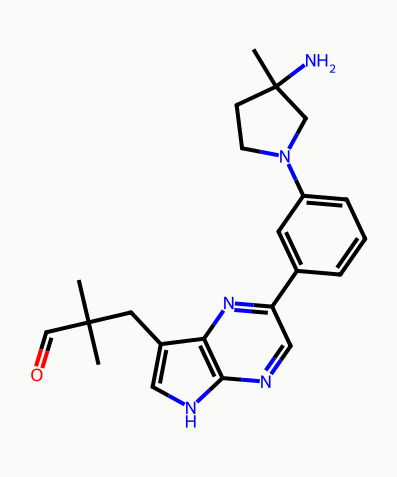 CC(C)(C=O)Cc1c[nH]c2ncc(-c3cccc(N4CCC(C)(N)C4)c3)nc12